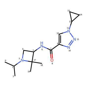 CC(C)N1CC(NC(=O)c2cn(C3CC3)nn2)C1(C)C